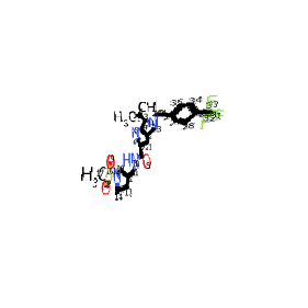 CC(C)C1c2ncc(C(=O)NCC3CCN(S(C)(=O)=O)C3)cc2CN1Cc1ccc(C(F)(F)F)cc1